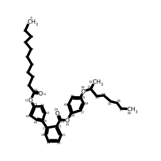 CCCCCCCCCCC(=O)Oc1ccc(-c2ccccc2C(=O)Oc2ccc(OC(C)CCCCCC)cc2)cc1